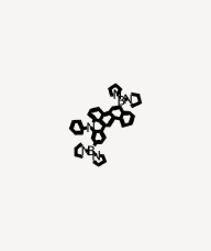 c1ccc(N2c3cc(B(N4CCCC4)N4CCCC4)ccc3-c3cc4c5ccccc5c(B(N5CCCC5)N5CCCC5)cc4c4cccc2c34)cc1